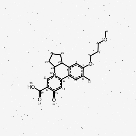 COCCCOc1cc2c(cc1C)-c1cc(=O)c(C(=O)O)cn1C1CCCC21